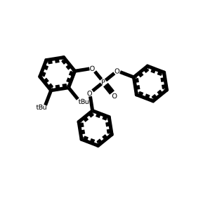 CC(C)(C)c1cccc(OP(=O)(Oc2ccccc2)Oc2ccccc2)c1C(C)(C)C